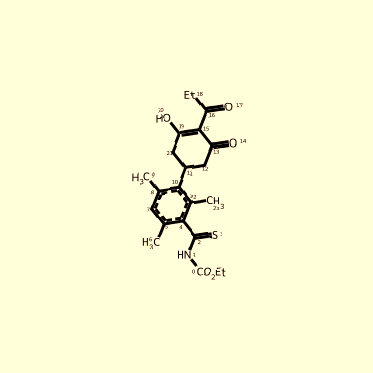 CCOC(=O)NC(=S)c1c(C)cc(C)c(C2CC(=O)C(C(=O)CC)=C(O)C2)c1C